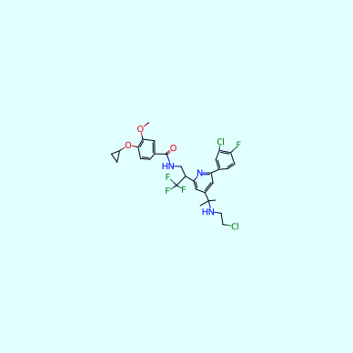 COc1cc(C(=O)NCC(c2cc(C(C)(C)NCCCl)cc(-c3ccc(F)c(Cl)c3)n2)C(F)(F)F)ccc1OC1CC1